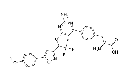 COc1ccc(-c2cc(C(Oc3cc(-c4ccc(C[C@H](N)C(=O)O)cc4)nc(N)n3)C(F)(F)F)no2)cc1